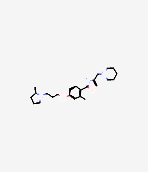 Cc1cc(OCCCN2CCCC2C)ccc1-c1nc(CN2CCCCC2)co1